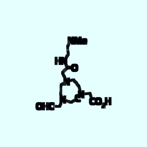 CNCCNC(=O)CN1CCN(CC=O)CCN(CC(=O)O)CC1